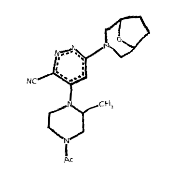 CC(=O)N1CCN(c2cc(N3CC4CCC(C3)O4)nnc2C#N)C(C)C1